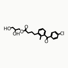 Cc1c(CCCC(=O)OCC(O)CO)cccc1C(=O)c1ccc(Cl)cc1